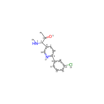 CNC(C(C)=O)c1ccc(-c2cccc(Cl)c2)nc1